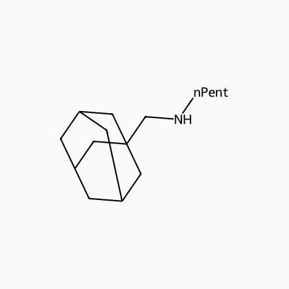 CCCCCNCC12CC3CC(CC(C3)C1)C2